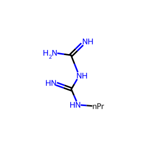 CCCNC(=N)NC(=N)N